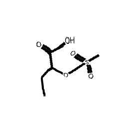 CCC(OS(C)(=O)=O)C(=O)O